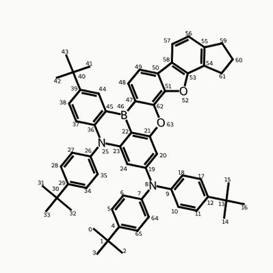 CC(C)(C)c1ccc(N(c2ccc(C(C)(C)C)cc2)c2cc3c4c(c2)N(c2ccc(C(C)(C)C)cc2)c2ccc(C(C)(C)C)cc2B4c2ccc4c(oc5c6c(ccc54)CCC6)c2O3)cc1